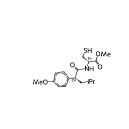 COC(=O)[C@H](CS)NC(=O)[C@@H](CC(C)C)c1ccc(OC)cc1